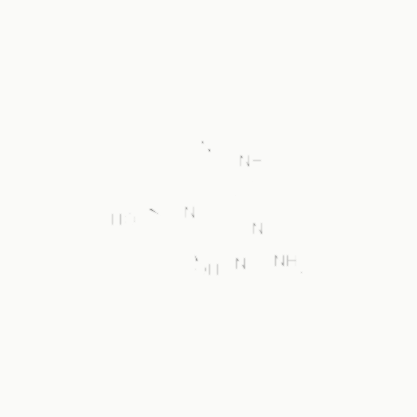 Nc1nccc(-c2c[nH]c3nccc(N4C[C@@H](O)C[C@H]4CO)c23)n1